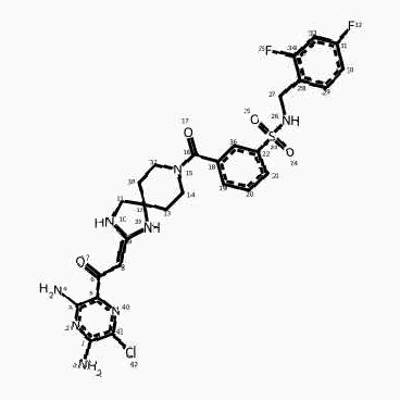 Nc1nc(N)c(C(=O)/C=C2\NCC3(CCN(C(=O)c4cccc(S(=O)(=O)NCc5ccc(F)cc5F)c4)CC3)N2)nc1Cl